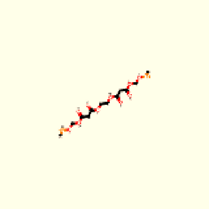 CPOCOC(=O)CC(=O)OCCOC(=O)CC(=O)OCOPC